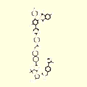 Cc1ncsc1-c1ccc([C@H](C)NC(=O)[C@@H]2C[C@@H](O)CN2C(=O)[C@@H](NC(=O)C2CCC3(CC2)CCN(CC(=O)N2CCN(c4ncc(-c5cc(NC(=O)c6ccc(F)cc6C(F)(F)F)c(N6C[C@@H](C)N(C)[C@@H](C)C6)cc5F)cn4)CC2)CC3)C(C)(C)C)cc1